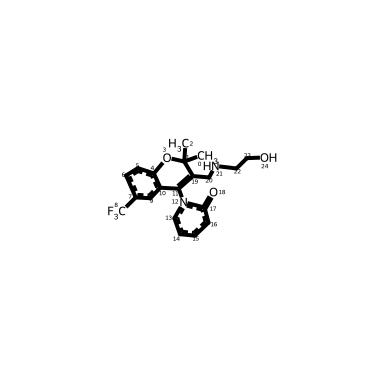 CC1(C)Oc2ccc(C(F)(F)F)cc2C(n2ccccc2=O)=C1CNCCO